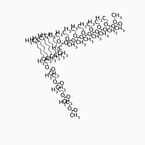 CCCCCCC.CCCCCCC.CCCCCCC.CCCCCCC.CCCCCCC.CCOC(C)=O.CCOC(C)=O.CCOC(C)=O.CCOC(C)=O.CCOC(C)=O.CCOC(C)=O.CCOC(C)=O.CCOC(C)=O.CCOC(C)=O.CCOC(C)=O.CCOC(C)=O.CCOC(C)=O